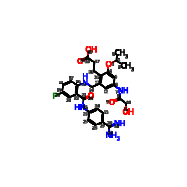 CC(C)Oc1cc(NC(=O)CO)cc(CNc2ccc(F)cc2C(=O)Nc2ccc(C(=N)N)cc2)c1CCC(=O)O